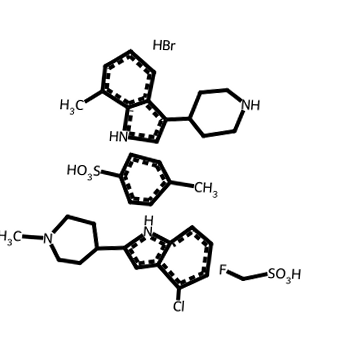 Br.CN1CCC(c2cc3c(Cl)cccc3[nH]2)CC1.Cc1ccc(S(=O)(=O)O)cc1.Cc1cccc2c(C3CCNCC3)c[nH]c12.O=S(=O)(O)CF